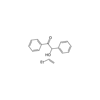 C=CCC.O=C(c1ccccc1)C(O)c1ccccc1